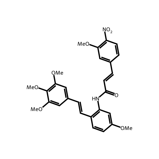 COc1ccc(/C=C/c2cc(OC)c(OC)c(OC)c2)c(NC(=O)/C=C/c2ccc([N+](=O)[O-])c(OC)c2)c1